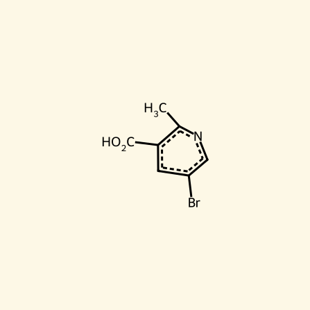 Cc1ncc(Br)cc1C(=O)O